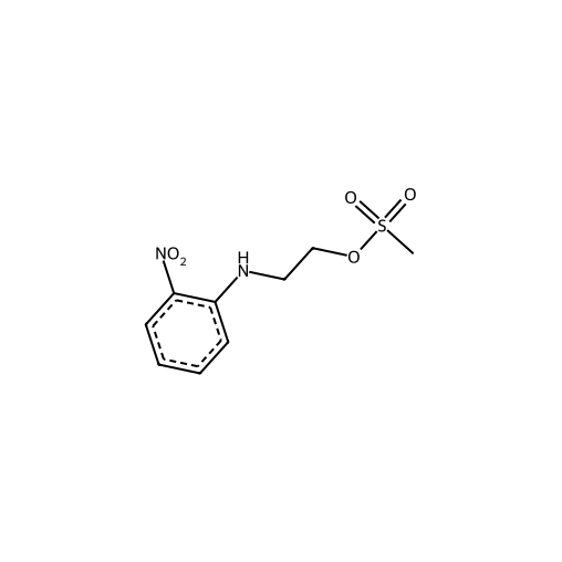 CS(=O)(=O)OCCNc1ccccc1[N+](=O)[O-]